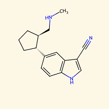 CNC[C@@H]1CCC[C@H]1c1ccc2[nH]cc(C#N)c2c1